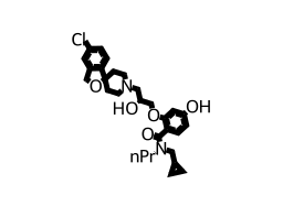 CCCN(CC1CC1)C(=O)c1ccc(O)cc1OC[C@@H](O)CN1CCC2(CC1)OCc1cc(Cl)ccc12